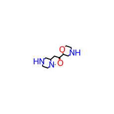 O=C(CC1CNCC[N]1)C1CNCCO1